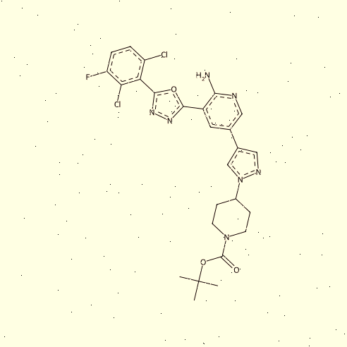 CC(C)(C)OC(=O)N1CCC(n2cc(-c3cnc(N)c(-c4nnc(-c5c(Cl)ccc(F)c5Cl)o4)c3)cn2)CC1